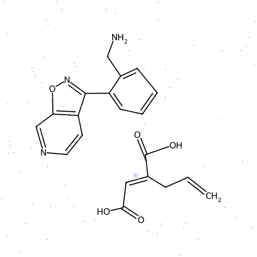 C=CC/C(=C\C(=O)O)C(=O)O.NCc1ccccc1-c1noc2cnccc12